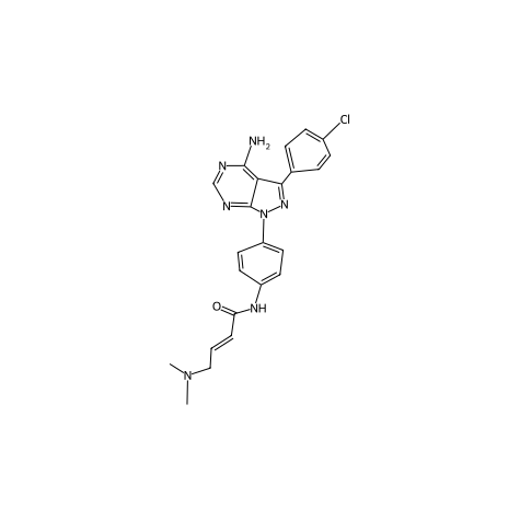 CN(C)CC=CC(=O)Nc1ccc(-n2nc(-c3ccc(Cl)cc3)c3c(N)ncnc32)cc1